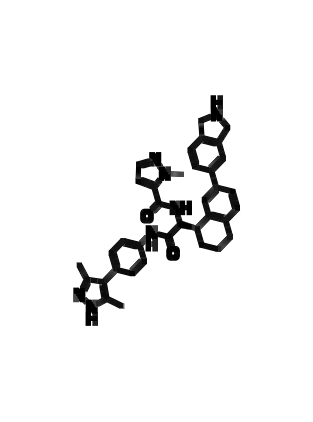 Cc1n[nH]c(C)c1-c1ccc(NC(=O)C(NC(=O)c2ccnn2C)[C@@H]2CCCc3ccc(-c4ccc5c(c4)CNC5)cc32)cc1